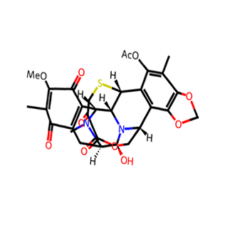 COC1=C(C)C(=O)C2=C(C1=O)[C@@H]1[C@@H]3[C@@H]4SCC(=O)C(=O)OC[C@@H](c5c6c(c(C)c(OC(C)=O)c54)OCO6)N3[C@@H](O)[C@@H](C2)N1C